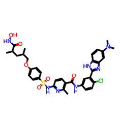 Cc1nc(NS(=O)(=O)c2ccc(OCC(C)CC(C)C(=O)NO)cc2)ccc1C(=O)Nc1ccc(Cl)c(-c2nc3cc(N(C)C)ccc3[nH]2)c1